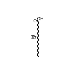 CCCCCCCCCCCCCCCCCC(=O)O.[Cr].[Cr]